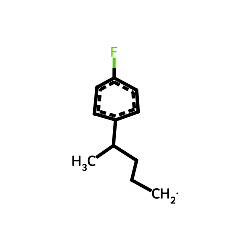 [CH2]CCC(C)c1ccc(F)cc1